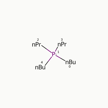 CCCC[P](CCC)(CCC)CCCC